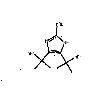 CCCCc1nc(C(C)(C)CCC)c(C(C)(C)CCC)[nH]1